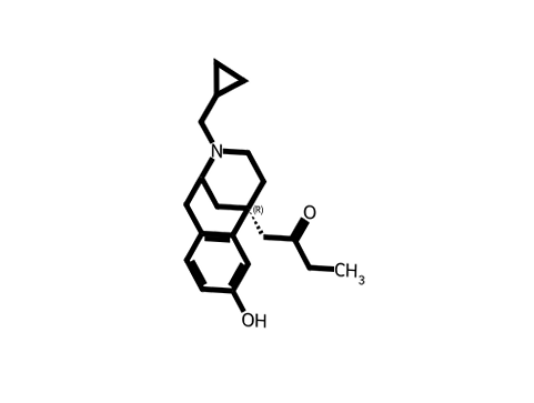 CCC(=O)C[C@]12CCN(CC3CC3)C(Cc3ccc(O)cc31)C2